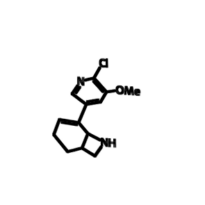 COc1cc(C2=CCCC3CNC23)cnc1Cl